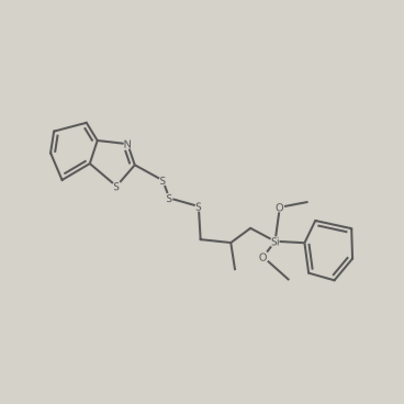 CO[Si](CC(C)CSSSc1nc2ccccc2s1)(OC)c1ccccc1